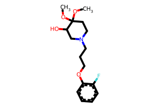 COC1(OC)CCN(CCCOc2ccccc2F)CC1O